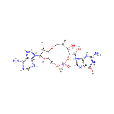 CC1COC2C(COP(=O)(S)OC(C(O)n3cnc4c(=O)[nH]c(N)nc43)C1O)OC(n1cnc3c(N)ncnc31)C2F